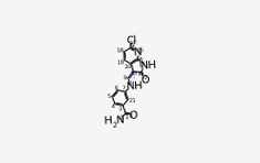 NC(=O)c1cccc(N/C=C2\C(=O)Nc3nc(Cl)ccc32)c1